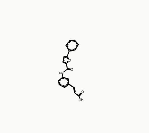 O=C(O)/C=C/c1cccc(NC(=O)c2ccc(-c3ccccc3)o2)c1